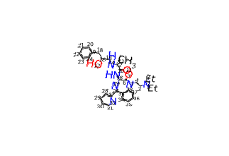 CCN(CC)CCN1C(=O)C(NC(=O)[C@H](C)NCC(O)Cc2ccccc2)N=C(c2ccccn2)c2ccccc21